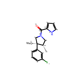 CO[C@]1(c2cccc(F)c2)CN(C(=O)c2ccc[nH]2)C[C@@H]1C